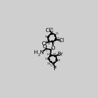 NC(=O)C(Oc1c(Cl)cc(Cl)cc1Cl)c1ccc(F)cc1Br